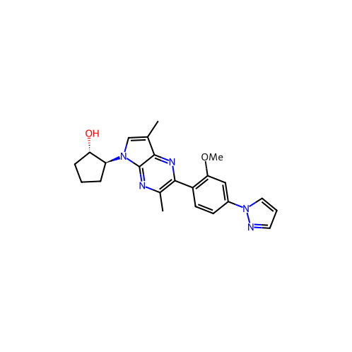 COc1cc(-n2cccn2)ccc1-c1nc2c(C)cn([C@H]3CCC[C@@H]3O)c2nc1C